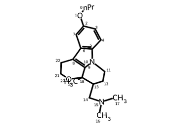 CCCOc1ccc2c(c1)c1c3n2CCC(CN(C)C)C3(C)OCC1